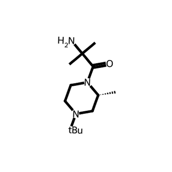 C[C@@H]1CN(C(C)(C)C)CCN1C(=O)C(C)(C)N